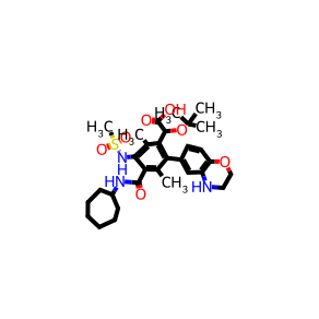 Cc1c(C(=O)NC2CCCCCC2)c(NS(C)(=O)=O)c(C)c(C(OC(C)(C)C)C(=O)O)c1-c1ccc2c(c1)NCCO2